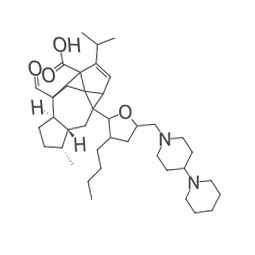 CCCCC1CC(CN2CCC(N3CCCCC3)CC2)OC1C12C[C@@H]3[C@H](C)CC[C@H]3C3(C=O)CC14C2C=C(C(C)C)C34C(=O)O